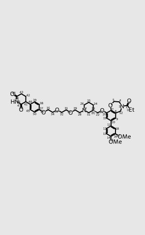 CCC(=O)N1CCOc2c(cc(-c3ccc(OC)c(OC)c3)cc2OC[C@@H]2CCCN(CCOCCOCCOc3ccc(C4CCC(=O)NC4=O)cc3)C2)C1